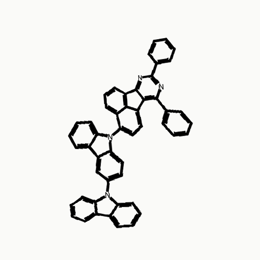 c1ccc(-c2nc(-c3ccccc3)c3c(n2)-c2cccc4c(-n5c6ccccc6c6cc(-n7c8ccccc8c8ccccc87)ccc65)ccc-3c24)cc1